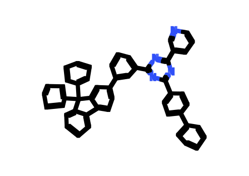 c1ccc(-c2ccc(-c3nc(-c4cccnc4)nc(-c4cccc(-c5ccc6c(c5)C(c5ccccc5)(c5ccccc5)c5ccccc5-6)c4)n3)cc2)cc1